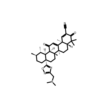 C[C@@H]1[C@H]2[C@H]3C(=O)C=C4[C@@]5(C)C=C(C#N)C(=O)C(C)(C)[C@@H]5CC[C@@]4(C)[C@]3(C)CC[C@@]2(c2nc(CN(C)C)no2)CC[C@H]1C